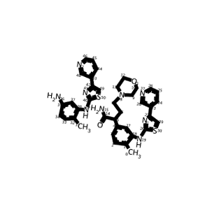 Cc1ccc(C(CCN2CCOCC2)C(N)=O)cc1Nc1nc(-c2cccnc2)cs1.Cc1ccc(N)cc1Nc1nc(-c2cccnc2)cs1